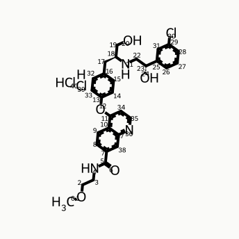 COCCNC(=O)c1ccc2c(Oc3ccc(C[C@@H](CO)NC[C@@H](O)c4cccc(Cl)c4)cc3)ccnc2c1.Cl.Cl